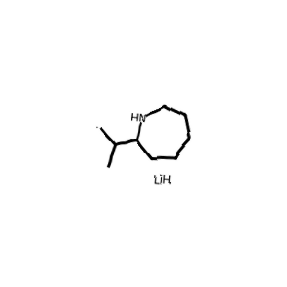 [CH2]C(C)C1CCCCCN1.[LiH]